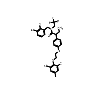 Cc1cc(Cl)c(OCCOc2ccc(C(CN)C(=O)N(Cc3cccc(Cl)c3Cl)CC(F)(F)F)cc2)c(Cl)c1